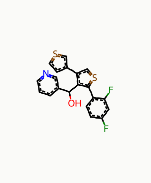 OC(c1cccnc1)c1c(-c2ccsc2)csc1-c1ccc(F)cc1F